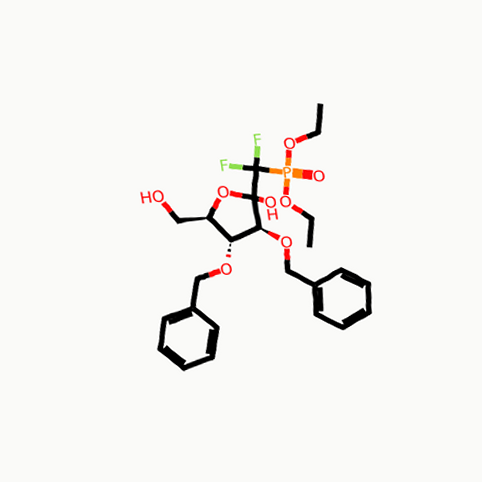 CCOP(=O)(OCC)C(F)(F)C1(O)O[C@H](CO)[C@@H](OCc2ccccc2)[C@@H]1OCc1ccccc1